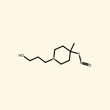 CC1(SN=O)CCN(CCCO)CC1